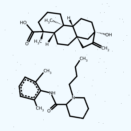 C=C1C[C@@]23CC[C@H]4[C@@](C)(CCC[C@@]4(C)C(=O)O)[C@@H]2CC[C@]1(O)C3.CCCCN1CCCCC1C(=O)Nc1c(C)cccc1C